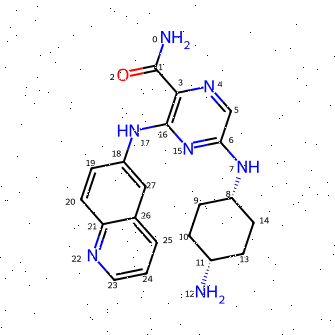 NC(=O)c1ncc(N[C@H]2CC[C@@H](N)CC2)nc1Nc1ccc2ncccc2c1